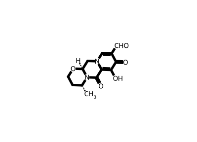 C[C@@H]1CCO[C@H]2Cn3cc(C=O)c(=O)c(O)c3C(=O)N12